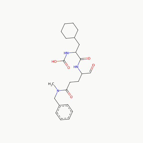 CN(Cc1ccccc1)C(=O)CCC(C=O)NC(=O)C(CC1CCCCC1)NC(=O)O